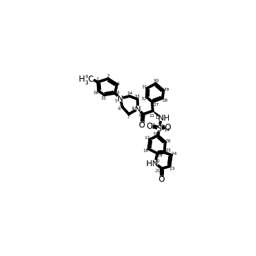 Cc1ccc(N2CCN(C(=O)[C@H](NS(=O)(=O)c3ccc4[nH]c(=O)ccc4c3)c3ccccc3)CC2)cc1